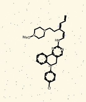 C=C/C=C(\C=C/Nc1ncc2c(n1)-c1ccccc1[C@H](c1ccc(Cl)cc1)C2)CCN1CCN(OC)CC1